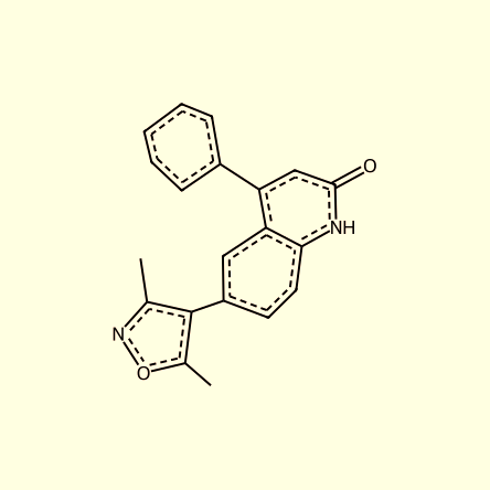 Cc1noc(C)c1-c1ccc2[nH]c(=O)cc(-c3ccccc3)c2c1